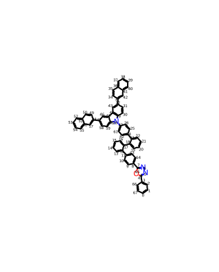 c1ccc(-c2nnc(-c3ccc(-c4ccccc4-c4ccccc4-c4ccc(-n5c6ccc(-c7ccc8ccccc8c7)cc6c6cc(-c7ccc8ccccc8c7)ccc65)cc4)cc3)o2)cc1